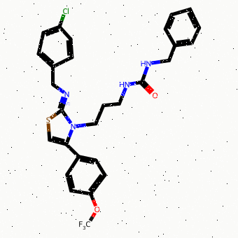 O=C(NCCCn1c(-c2ccc(OC(F)(F)F)cc2)cs/c1=N\Cc1ccc(Cl)cc1)NCc1ccccc1